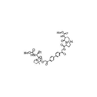 COC(=O)N[C@H]1CC[C@H]2CC[C@@H](C(=O)OCC(=O)c3ccc(-c4ccc(C(=O)COC(=O)[C@]5(C)CCCN5C(=O)[C@@H](NC(=O)OC)C(C)C)cc4)cc3)N2C1=O